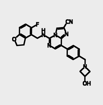 N#Cc1cn2c(NCc3c(F)ccc4c3CCO4)ncc(-c3ccc(CN4CC(O)C4)cc3)c2n1